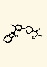 CCN(CC)C(=O)C1CCN(c2ccc(Cl)c(-c3nc4cnccc4[nH]3)c2)CC1